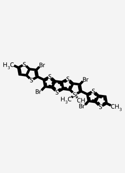 CC1=CC2SC(c3sc4c(sc5c6c(sc54)C(Br)=C(c4sc5cc(C)sc5c4Br)[Si]6(C)C)c3Br)=C(Br)C2S1